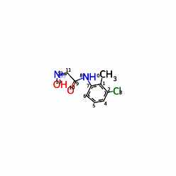 Cc1c(Cl)cccc1NC(=O)/C=N\O